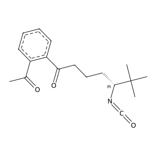 CC(=O)c1ccccc1C(=O)CCC[C@@H](N=C=O)C(C)(C)C